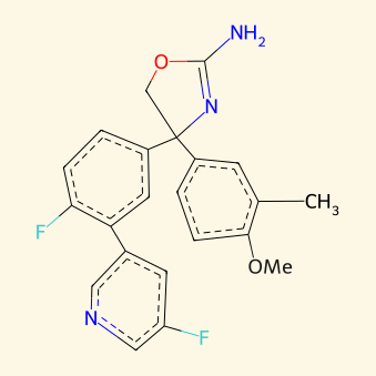 COc1ccc(C2(c3ccc(F)c(-c4cncc(F)c4)c3)COC(N)=N2)cc1C